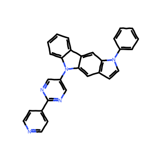 c1ccc(-n2ccc3cc4c(cc32)c2ccccc2n4-c2cnc(-c3ccncc3)nc2)cc1